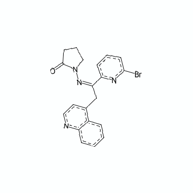 O=C1CCCN1N=C(Cc1ccnc2ccccc12)c1cccc(Br)n1